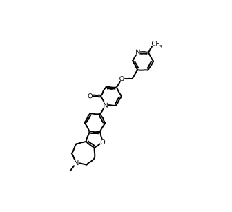 CN1CCc2oc3cc(-n4ccc(OCc5ccc(C(F)(F)F)nc5)cc4=O)ccc3c2CC1